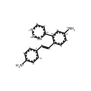 Nc1ccc(/C=C/c2ccc(N)cc2-c2ccnnn2)cc1